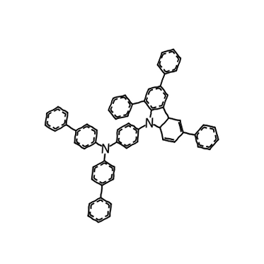 C1=CC2C(C=C1c1ccccc1)c1cc(-c3ccccc3)cc(-c3ccccc3)c1N2c1ccc(N(c2ccc(-c3ccccc3)cc2)c2ccc(-c3ccccc3)cc2)cc1